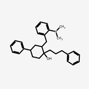 CN(C)c1ccccc1CC1CC(c2ccccc2)CCC1(O)CCCc1ccccc1